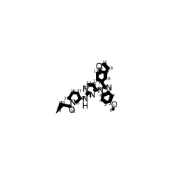 COc1ccc2c(c1)nc(-c1ccc3occc3c1)n2-c1ccnc(N[C@H]2CCCN(C(=O)C3CC3)C2)n1